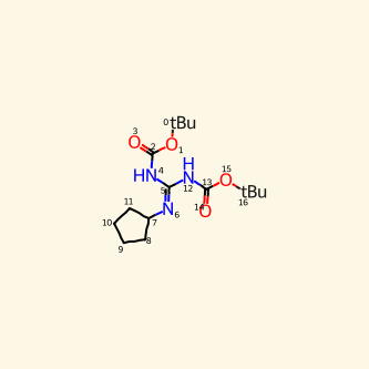 CC(C)(C)OC(=O)NC(=NC1CCCC1)NC(=O)OC(C)(C)C